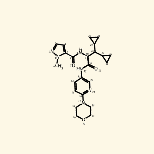 Cn1nccc1C(=O)N[C@H](C(=O)Nc1ccc(N2CCOCC2)nc1)C(C1CC1)C1CC1